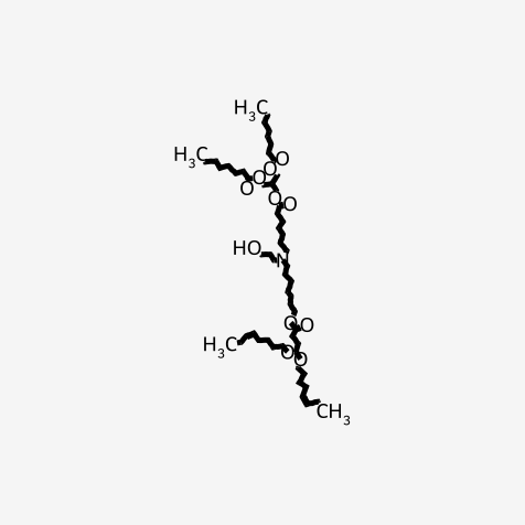 CC/C=C\CCCCOC(CCC(=O)OCCCCCCCN(CCCO)CCCCCCC(=O)OCC(COC(=O)CCCCCCC)COC(=O)CCCCCCC)OCCCC/C=C\CC